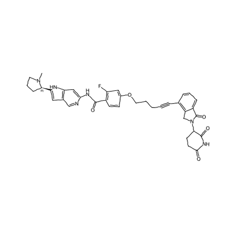 CN1CCC[C@@H]1c1cc2cnc(NC(=O)c3ccc(OCCCC#Cc4cccc5c4CN(C4CCC(=O)NC4=O)C5=O)cc3F)cc2[nH]1